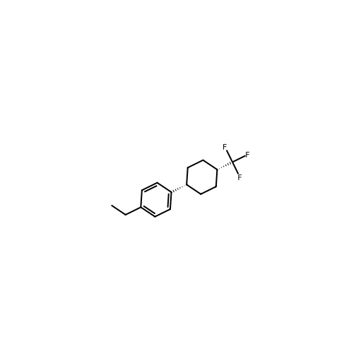 CCc1ccc([C@H]2CC[C@@H](C(F)(F)F)CC2)cc1